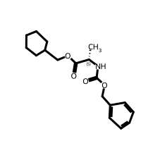 C[C@H](NC(=O)OCc1ccccc1)C(=O)OCC1CCCCC1